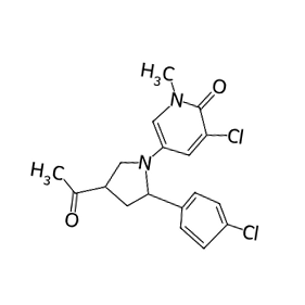 CC(=O)C1CC(c2ccc(Cl)cc2)N(c2cc(Cl)c(=O)n(C)c2)C1